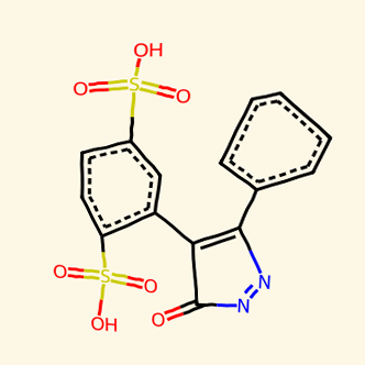 O=C1N=NC(c2ccccc2)=C1c1cc(S(=O)(=O)O)ccc1S(=O)(=O)O